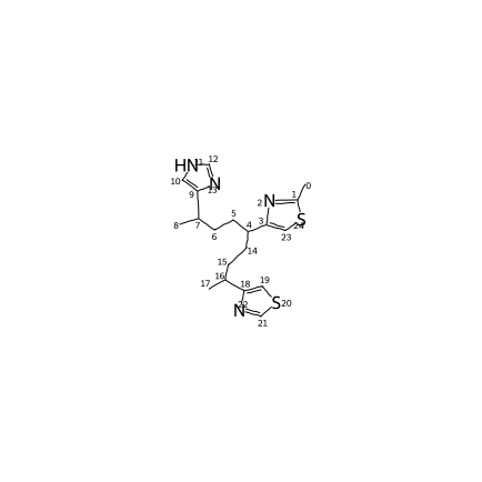 Cc1nc(C(CCC(C)c2c[nH]cn2)CCC(C)c2cscn2)cs1